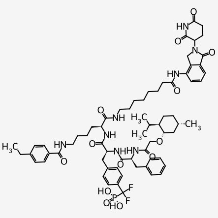 CCc1ccc(C(=O)NCCCC[C@H](NC(=O)[C@H](Cc2ccc(C(F)(F)P(=O)(O)O)cc2)NC(=O)[C@H](Cc2ccccc2)NC(=O)CO[C@H]2C[C@@H](C)CC[C@@H]2C(C)C)C(=O)NCCCCCCCC(=O)Nc2cccc3c2CN(C2CCC(=O)NC2=O)C3=O)cc1